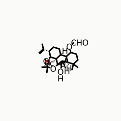 C=C(C)[C@@H]1CC[C@H]2[C@@]34COC5(OC(C)(C)O[C@H]1[C@@]25C(C)=O)[C@@H](O)[C@@H]3C(C)(C)CC[C@@H]4OC=O